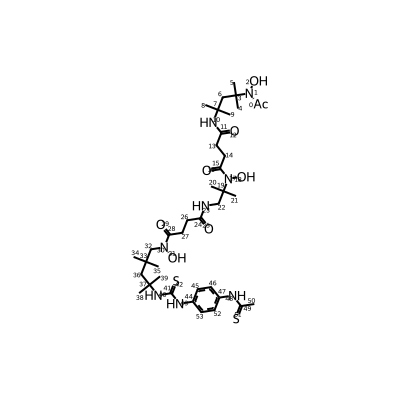 CC(=O)N(O)C(C)(C)CC(C)(C)NC(=O)CCC(=O)N(O)C(C)(C)CNC(=O)CCC(=O)N(O)CC(C)(C)CC(C)(C)NC(=S)Nc1ccc(NC(C)=S)cc1